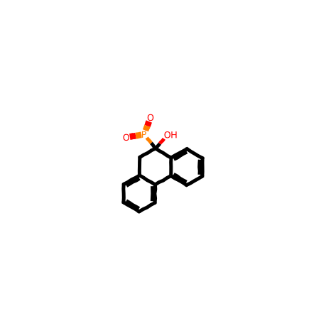 O=P(=O)C1(O)Cc2ccccc2-c2ccccc21